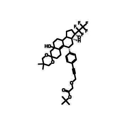 CC1(C)COC2(CCC3=C4C(CCC3(O)C2)C2CC[C@@](O)(C(F)(F)C(F)(F)F)[C@@]2(C)C[C@@H]4c2ccc(C#CCOCC(=O)OC(C)(C)C)cc2)OC1